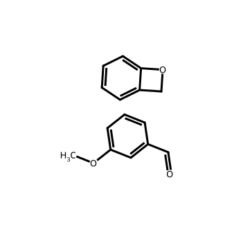 COc1cccc(C=O)c1.c1ccc2c(c1)CO2